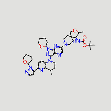 C[C@@H]1OCC2(CCN(c3cnc4c(N5CC[C@H](C)c6nc(-c7ccnn7C7CCCCO7)ccc65)nn(C5CCCCO5)c4n3)CC2)[C@@H]1NC(=O)OC(C)(C)C